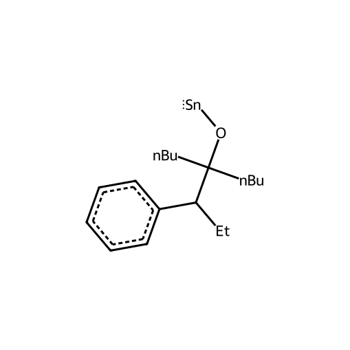 CCCCC(CCCC)([O][Sn])C(CC)c1ccccc1